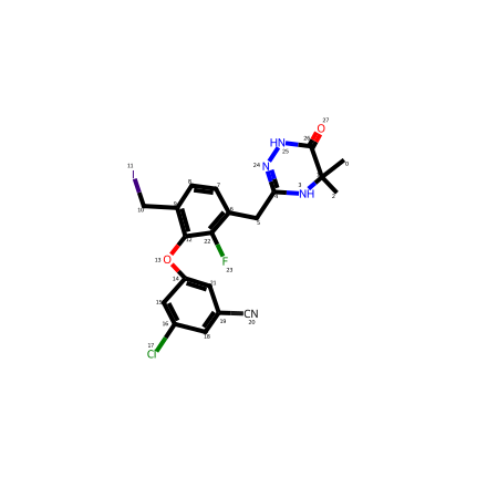 CC1(C)NC(Cc2ccc(CI)c(Oc3cc(Cl)cc(C#N)c3)c2F)=NNC1=O